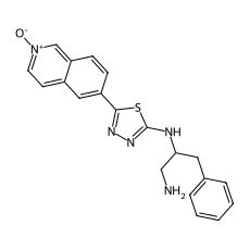 NCC(Cc1ccccc1)Nc1nnc(-c2ccc3c[n+]([O-])ccc3c2)s1